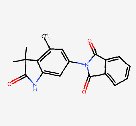 CC1(C)C(=O)Nc2cc(N3C(=O)c4ccccc4C3=O)cc(C(F)(F)F)c21